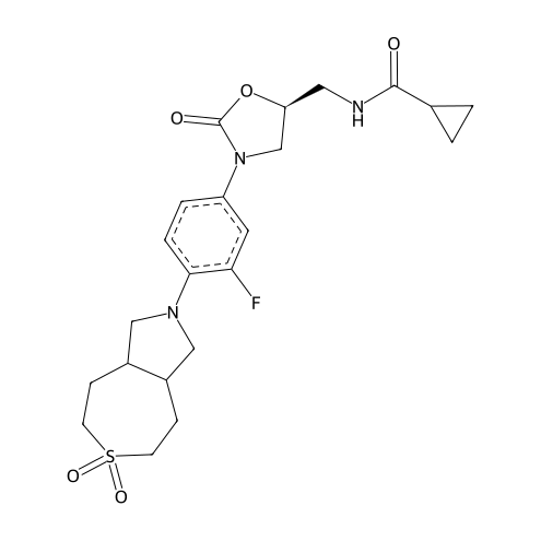 O=C(NC[C@H]1CN(c2ccc(N3CC4CCS(=O)(=O)CCC4C3)c(F)c2)C(=O)O1)C1CC1